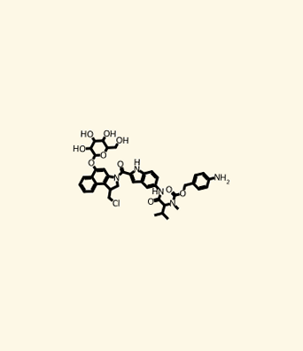 CC(C)C(C(=O)Nc1ccc2[nH]c(C(=O)N3CC(CCl)c4c3cc(OC3OC(CO)C(O)C(O)C3O)c3ccccc43)cc2c1)N(C)C(=O)OCc1ccc(N)cc1